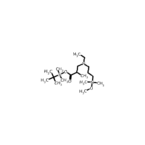 CCN(CCC[Si](C)(C)OC)CC(C)C(=O)O[Si](C)(C)C(C)(C)C